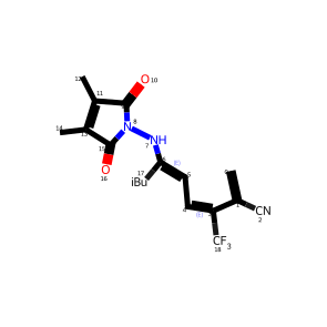 C=C(C#N)/C(=C\C=C(\NN1C(=O)C(C)=C(C)C1=O)C(C)CC)C(F)(F)F